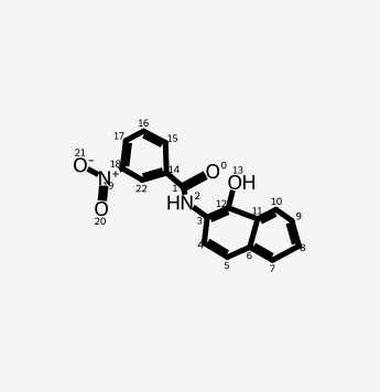 O=C(Nc1ccc2ccccc2c1O)c1cccc([N+](=O)[O-])c1